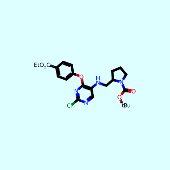 CCOC(=O)c1ccc(Oc2nc(Cl)ncc2NCC2CCCN2C(=O)OC(C)(C)C)cc1